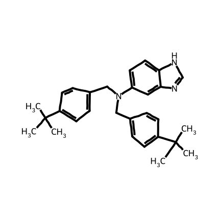 CC(C)(C)c1ccc(CN(Cc2ccc(C(C)(C)C)cc2)c2ccc3[nH]cnc3c2)cc1